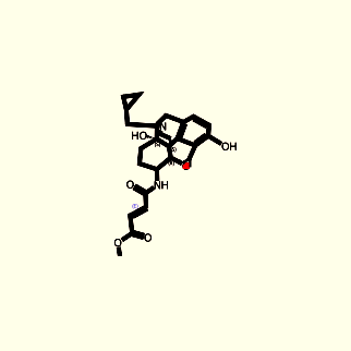 COC(=O)/C=C/C(=O)NC1CC[C@@]2(O)C3Cc4ccc(O)c5c4[C@@]2(CCN3CC2CC2)[C@H]1O5